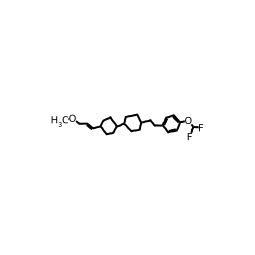 COCC=CC1CCC(C2CCC(CCc3ccc(OC(F)F)cc3)CC2)CC1